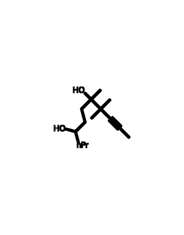 CC#CC(C)(C)C(C)(O)CCC(O)CCC